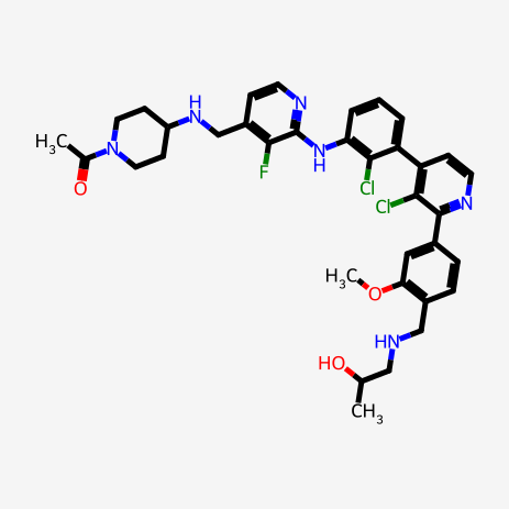 COc1cc(-c2nccc(-c3cccc(Nc4nccc(CNC5CCN(C(C)=O)CC5)c4F)c3Cl)c2Cl)ccc1CNCC(C)O